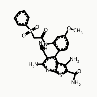 COc1ccc(-c2c(C#N)c(N)nc3sc(C(N)=O)c(N)c23)c(NC(=O)CS(=O)(=O)c2ccccc2)c1